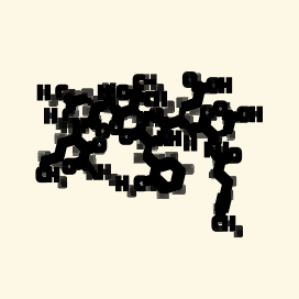 CC#CCCC(=O)N[C@@H](CC(=O)O)C(=O)N[C@@H](CCC(=O)O)C(=O)N[C@@H](Cc1ccccc1C)C(=O)N[C@H](C(=O)N[C@@H](CC(C)C)C(=O)NC(CCCC)C(=O)C(N)=O)C(C)(C)C